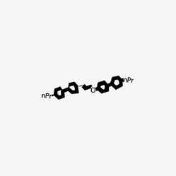 CCCC1CCC(c2ccc(OC/C=C/[C@H]3CC[C@H]([C@H]4CC[C@H](CCC)CC4)CC3)cc2)CC1